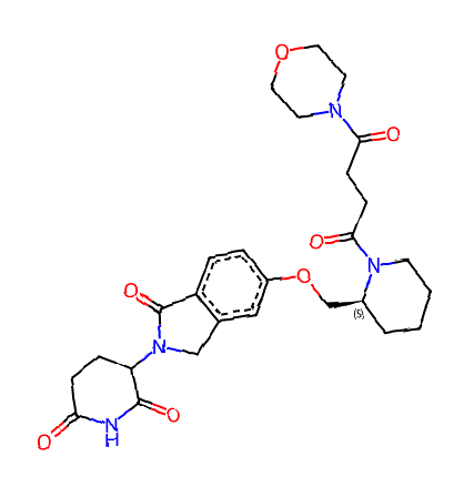 O=C1CCC(N2Cc3cc(OC[C@@H]4CCCCN4C(=O)CCC(=O)N4CCOCC4)ccc3C2=O)C(=O)N1